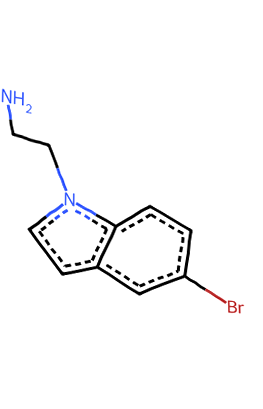 NCCn1ccc2cc(Br)ccc21